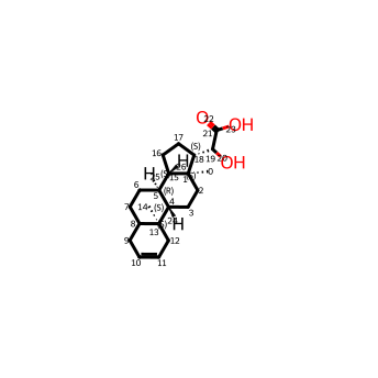 C[C@]12CC[C@H]3[C@@H](CCC4CC=CC[C@@]43C)[C@@H]1CC[C@@H]2C(O)C(=O)O